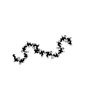 CCCCC(C)(C)CNC(=O)C(C)(C)CCOC(C)(C)CCNC(=O)C(C)(C)CCOC(C)(C)CCNC(=O)CC(C)C(C)OCC(C)(CC)CNCC(C)(CC)COCC(C)(CC)CC(=O)NCCC(C)(C)OCCC(C)(C)C(=O)NCCC(C)(C)OCCC(C)(C)C(=O)NCC(C)(C)CC(C)C